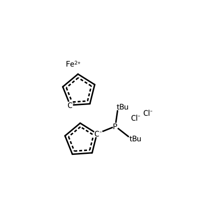 CC(C)(C)P([c-]1cccc1)C(C)(C)C.[Cl-].[Cl-].[Fe+2].c1cc[cH-]c1